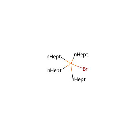 CCCCCCCP(Br)(CCCCCCC)(CCCCCCC)CCCCCCC